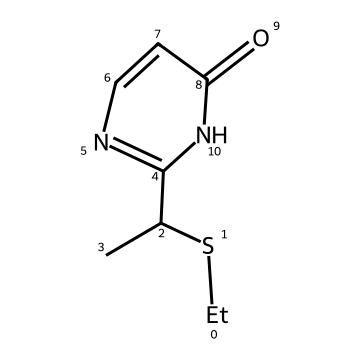 CCSC(C)c1nccc(=O)[nH]1